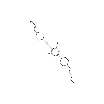 CCCCC[C@H]1CC[C@H](c2cc(F)c(C#C[C@H]3CC[C@H](C=CCl)CC3)c(F)c2)CC1